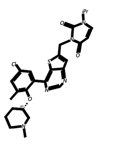 Cc1cc(Cl)cc(-c2ncnc3cc(Cn4c(=O)ccn(C(C)C)c4=O)sc23)c1O[C@H]1CCCN(C)C1